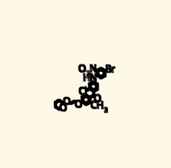 Cc1cc(OCCOC2CCCCO2)ccc1C(=O)c1ccc(Nc2ccc(Br)cc2[N+](=O)[O-])cc1Cl